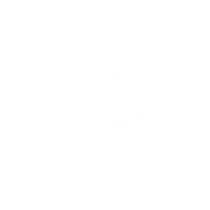 CCOc1cc(-c2nc(C3CCN(C(=O)OC(C)(C)C)CC3)no2)ccc1C